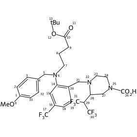 COc1ccc(CN(CCCC(=O)OC(C)(C)C)c2cc(C(F)(F)F)ccc2CN2CCN(C(=O)O)CC2C(C(F)(F)F)C(F)(F)F)cc1